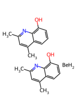 Cc1cc(C)c2cccc(O)c2n1.Cc1cc(C)c2cccc(O)c2n1.[BeH2]